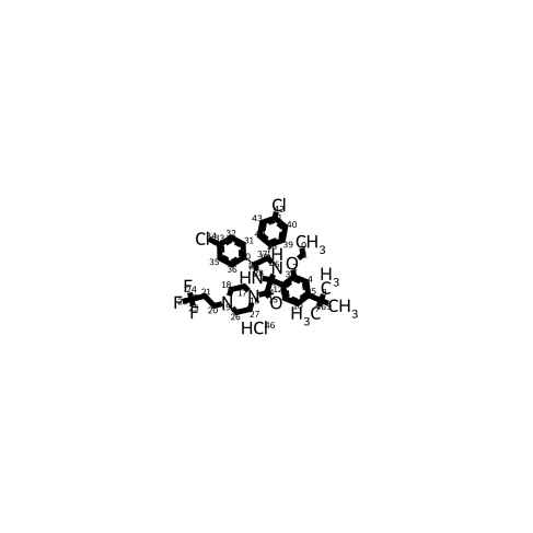 CCOc1cc(C(C)(C)C)ccc1C1(C(=O)N2CCN(CCC(F)(F)F)CC2)N[C@H](c2ccc(Cl)cc2)[C@H](c2ccc(Cl)cc2)N1.Cl